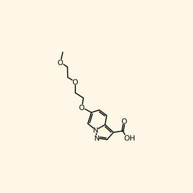 COCCOCCOc1ccc2c(C(=O)O)cnn2c1